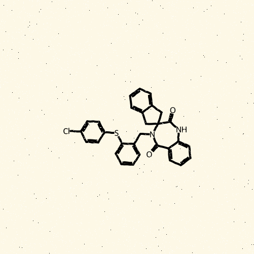 O=C1c2ccccc2NC(=O)C2(Cc3ccccc3C2)N1Cc1ccccc1Sc1ccc(Cl)cc1